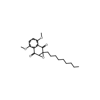 CCCCCCCCCC12OC1C(=O)c1c(OC)ccc(OC)c1C2=O